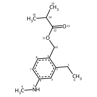 CCc1cc(NC)ccc1COC(=O)C(C)C